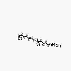 CC/C=C\CC/C=C/COC(=O)CCCCCCCCCCCCC